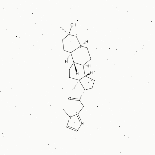 Cn1ccnc1CC(=O)[C@H]1CC[C@H]2[C@@H]3CC[C@@H]4C[C@](C)(O)CC[C@@H]4[C@H]3CC[C@]12C